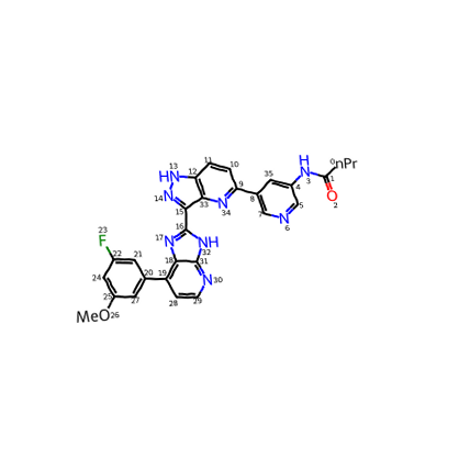 CCCC(=O)Nc1cncc(-c2ccc3[nH]nc(-c4nc5c(-c6cc(F)cc(OC)c6)ccnc5[nH]4)c3n2)c1